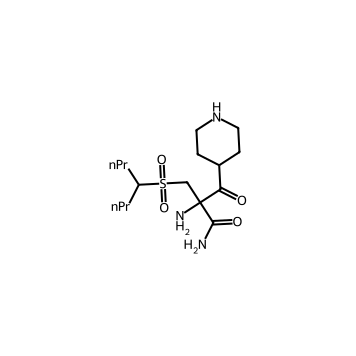 CCCC(CCC)S(=O)(=O)CC(N)(C(N)=O)C(=O)C1CCNCC1